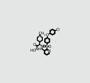 CN1CCC([C@@H](NCc2cccnc2S(=O)(=O)c2ccc(Oc3ccc(Cl)cc3)cc2)C(=O)NO)CC1